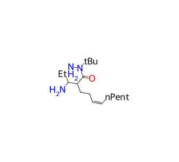 CCCCC/C=C\CCC(C(=O)N(N)C(C)(C)C)C(N)CC